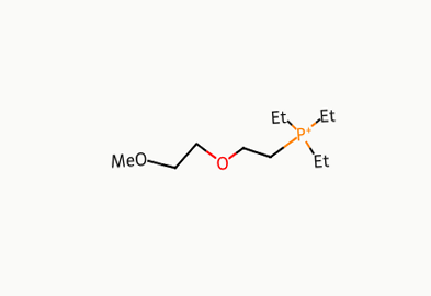 CC[P+](CC)(CC)CCOCCOC